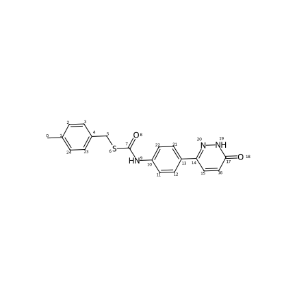 Cc1ccc(CSC(=O)Nc2ccc(-c3ccc(=O)[nH]n3)cc2)cc1